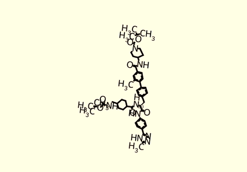 Cc1nnc(-c2ccc(NC(=O)[C@H](Cc3ccc(-c4ccc(C(=O)NC5CCN(C(=O)OC(C)(C)C)CC5)cc4C)cc3)NC(=O)C3CCC(CNC(=O)OC(C)(C)C)CC3)cc2)[nH]1